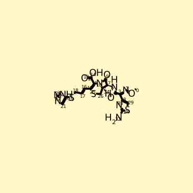 CON=C(C(=O)N[C@@H]1C(=O)N2C(C(=O)O)=C(C=CCSc3cnn[nH]3)SC[C@H]12)c1csc(N)n1